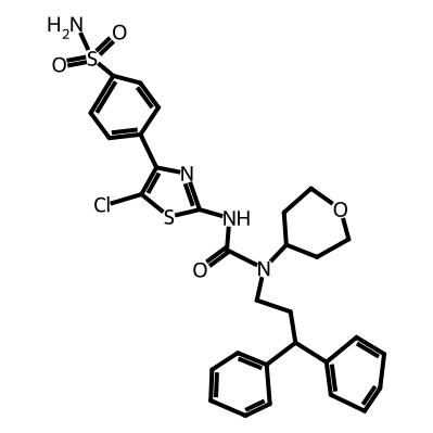 NS(=O)(=O)c1ccc(-c2nc(NC(=O)N(CCC(c3ccccc3)c3ccccc3)C3CCOCC3)sc2Cl)cc1